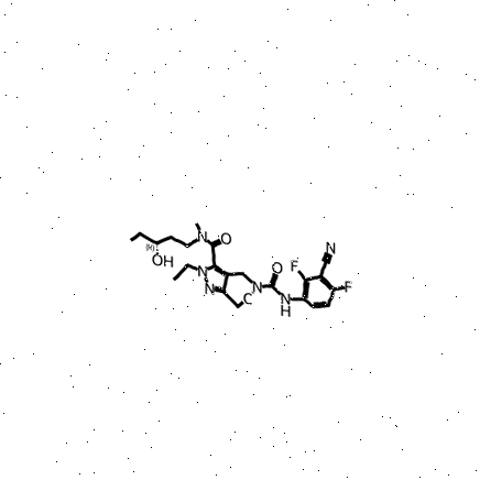 CC[C@@H](O)CCN(C)C(=O)c1c2c(nn1CC)CCN(C(=O)Nc1ccc(F)c(C#N)c1F)C2